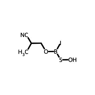 CC(C#N)COB(I)SO